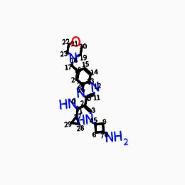 N=C(/C(=C\NC1CC(N)C1)c1cnc2ccc(CN3CCOCC3)cc2n1)C1CC1